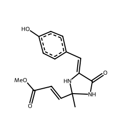 COC(=O)C=CC1(C)NC(=O)C(=Cc2ccc(O)cc2)N1